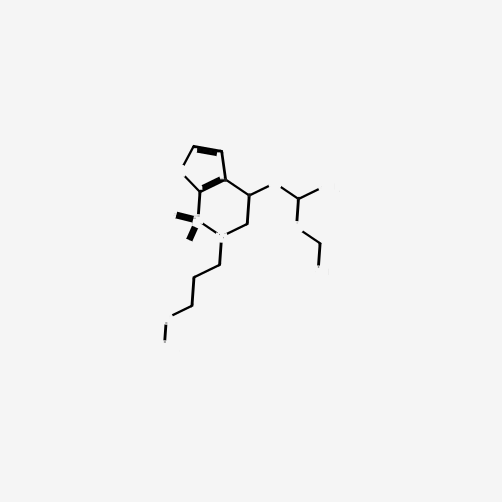 CCOC(C)OC1CN(CCCOC)S(=O)(=O)c2sccc21